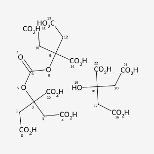 O=C(O)CC(CC(=O)O)(OC(=O)OC(CC(=O)O)(CC(=O)O)C(=O)O)C(=O)O.O=C(O)CC(O)(CC(=O)O)C(=O)O